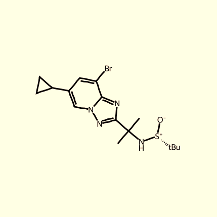 CC(C)(N[S@+]([O-])C(C)(C)C)c1nc2c(Br)cc(C3CC3)cn2n1